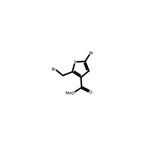 COC(=O)c1cc(Br)sc1CBr